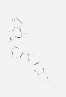 Cc1c(Nc2c(C#N)cnc3sc(-c4ccc(CN(C)C)cc4)c(C)c23)ccc2[nH]ccc12